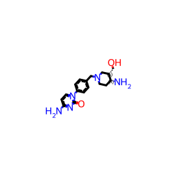 Nc1ccn(-c2ccc(CN3CC[C@@H](N)[C@@H](CO)C3)cc2)c(=O)n1